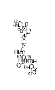 CC1(C)OC(=O)c2ccc(Nc3ncc(C(=N)OC(=N)CCN4CCC5(CC4)CCN(c4cccc6c4C(=O)N(C4CCC(=O)NC4=O)C6=O)C5)c(N[C@H](CO)c4ccccc4)n3)cc21